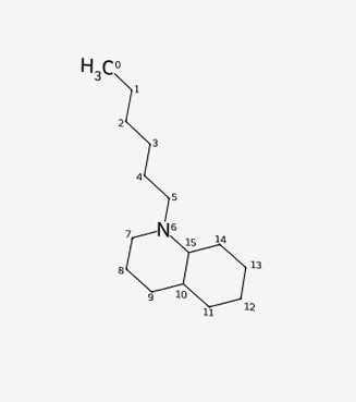 CCCCCCN1CCCC2CCCCC21